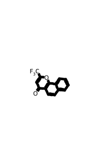 O=c1cc(C(F)(F)F)oc2c1ccc1ccccc12